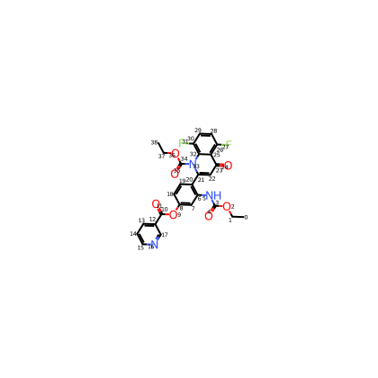 CCOC(=O)Nc1cc(OC(=O)c2cccnc2)ccc1-c1cc(=O)c2c(F)ccc(F)c2n1C(=O)OCC